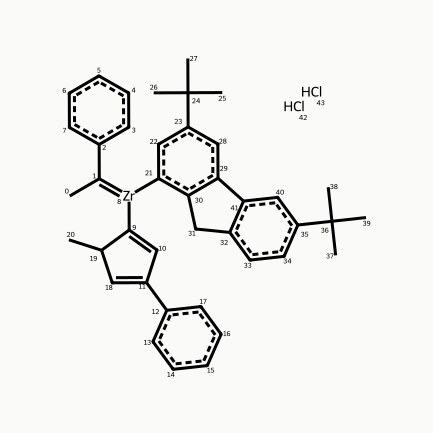 C/[C](c1ccccc1)=[Zr](\[C]1=CC(c2ccccc2)=CC1C)[c]1cc(C(C)(C)C)cc2c1Cc1ccc(C(C)(C)C)cc1-2.Cl.Cl